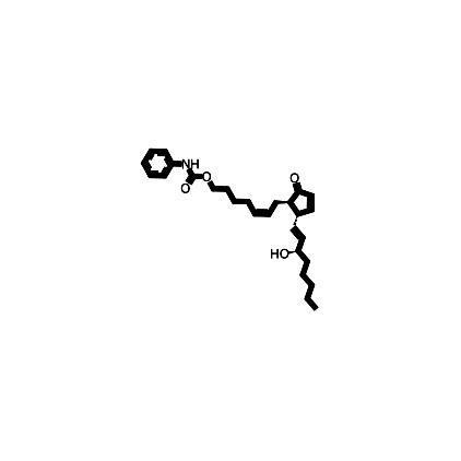 CCCCC[C@H](O)/C=C/[C@H]1C=CC(=O)[C@@H]1C/C=C\CCCCOC(=O)Nc1ccccc1